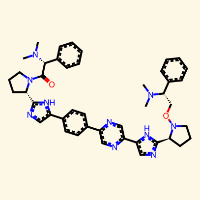 CN(C)[C@@H](CON1CCC[C@H]1c1ncc(-c2cnc(-c3ccc(-c4cnc([C@@H]5CCCN5C(=O)[C@@H](c5ccccc5)N(C)C)[nH]4)cc3)cn2)[nH]1)c1ccccc1